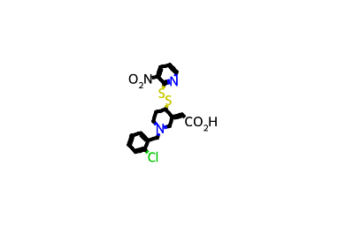 O=C(O)C=C1CN(Cc2ccccc2Cl)CCC1SSc1ncccc1[N+](=O)[O-]